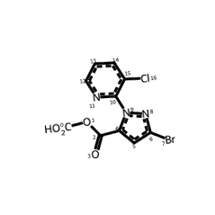 O=C(O)OC(=O)c1cc(Br)nn1-c1ncccc1Cl